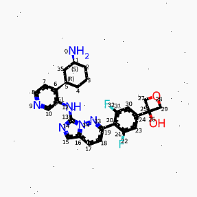 N[C@H]1CCC[C@@H](c2ccncc2Nc2ncc3ccc(-c4c(F)cc(C5(O)COC5)cc4F)nn23)C1